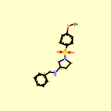 CCCCOc1ccc(S(=O)(=O)N2CCC(NCc3ccccc3)C2)cc1